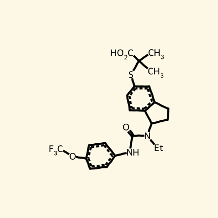 CCN(C(=O)Nc1ccc(OC(F)(F)F)cc1)C1CCc2cc(SC(C)(C)C(=O)O)ccc21